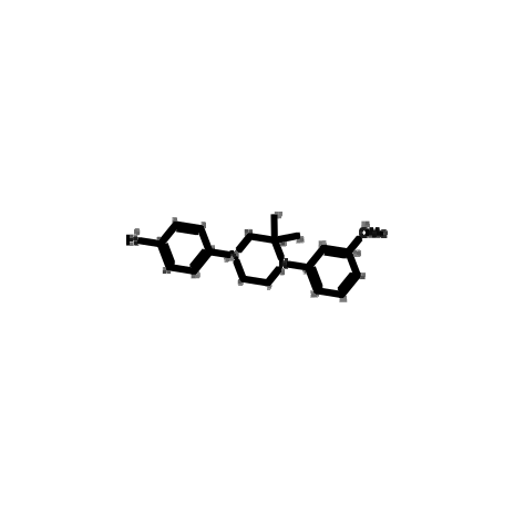 CCc1ccc(N2CCN(c3cccc(OC)c3)C(C)(C)C2)cc1